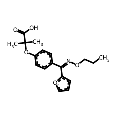 CCCON=C(c1ccc(OC(C)(C)C(=O)O)cc1)c1ccco1